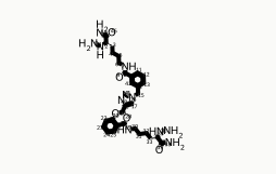 NN[C@@H](CCCCNC(=O)c1cccc(Cn2cc(COc3ccccc3C(=O)NCCCC[C@H](NN)C(N)=O)nn2)c1)C(N)=O